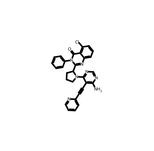 Nc1ncnc(N2CCCC2c2nc3cccc(Cl)c3c(=O)n2-c2ccccc2)c1C#Cc1ccccn1